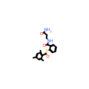 Cc1cc(C)c(C(=O)Sc2ccccc2C(=O)NCCC(N)=O)c(C)c1